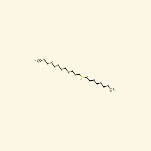 CCCCCCCCCCCCSCCCCCCCC